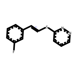 Fc1cccc(/C=C/Sc2cccnn2)c1